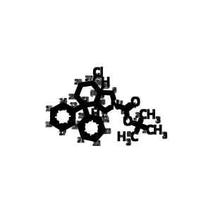 CC(C)(C)OC(=O)N1C[C@H]2[C@@H](C1)C(c1ccccc1)(c1ccccc1)CC[C@@H]2Cl